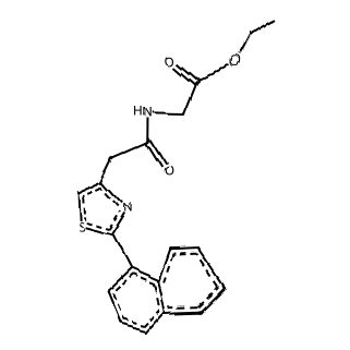 CCOC(=O)CNC(=O)Cc1csc(-c2cccc3ccccc23)n1